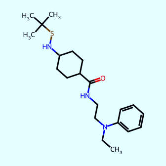 CCN(CCNC(=O)C1CCC(NSC(C)(C)C)CC1)c1ccccc1